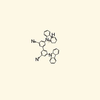 C[C@@]12CCC=C[C@H]1c1ccccc1N2c1cc(C#N)cc(-c2cc(C#N)cc(N3c4ccccc4C4C=CC=CC43)c2)c1